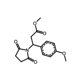 COC(=O)CC(c1ccc(OC)cc1)N1C(=O)CCC1=O